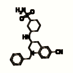 N#Cc1ccc2c(c1)CC(NC1CCCC(S(N)(=O)=O)C1)CN2Cc1ccccc1